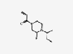 C=CC(=O)N1CCN(C(C)CC)C(F)C1